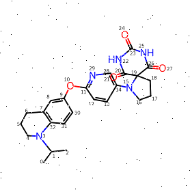 CC(C)N1CCCc2cc(Oc3ccc(N4CCCC45C(=O)NC(=O)NC5=O)cn3)ccc21